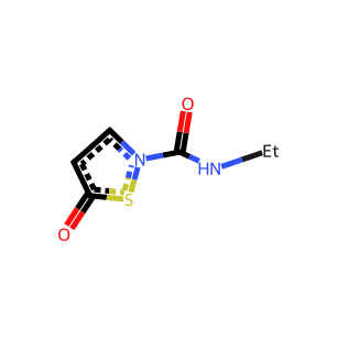 CCNC(=O)n1ccc(=O)s1